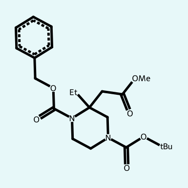 CCC1(CC(=O)OC)CN(C(=O)OC(C)(C)C)CCN1C(=O)OCc1ccccc1